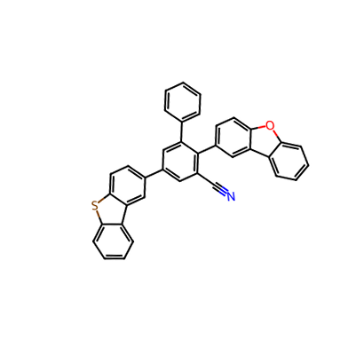 N#Cc1cc(-c2ccc3sc4ccccc4c3c2)cc(-c2ccccc2)c1-c1ccc2oc3ccccc3c2c1